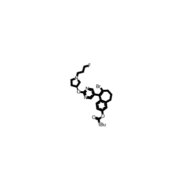 CC(C)(C)C(=O)Oc1ccc2c(c1)CCCC(Br)=C2c1cnc(O[C@H]2CCN(CCCF)C2)nc1